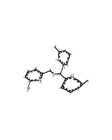 Cc1cccc(C(OCc2cccc(Br)n2)c2cccc(C)n2)n1